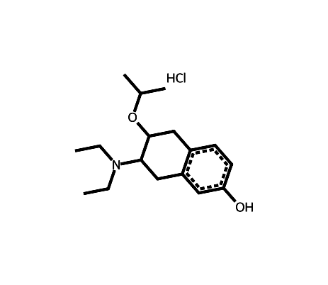 CCN(CC)C1Cc2cc(O)ccc2CC1OC(C)C.Cl